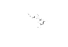 CCN(OC(=O)N=C=S)c1nc(OC)cc(OC)n1